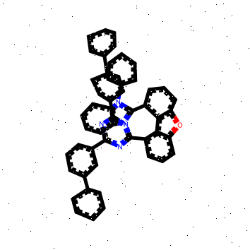 c1ccc(-c2ccc(-c3nc(-c4cccc(-c5ccccc5)c4)nc(-c4cccc5oc6cccc(-c7nc8ccccc8n7-c7ccccc7)c6c45)n3)cc2)cc1